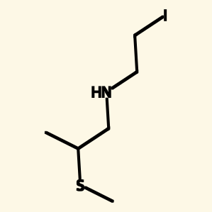 CSC(C)CNCCI